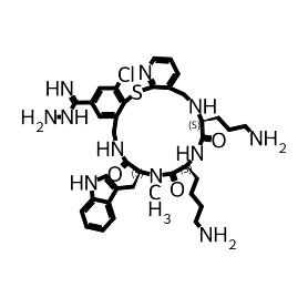 CN1C(=O)[C@H](CCCCN)NC(=O)[C@H](CCCN)NCc2cccnc2Sc2c(Cl)cc(C(=N)NN)cc2CNC(=O)[C@@H]1Cc1c[nH]c2ccccc12